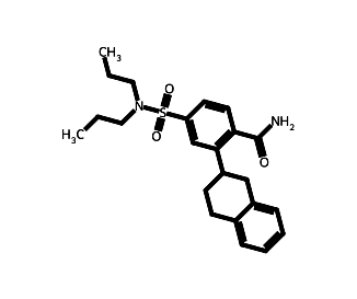 CCCN(CCC)S(=O)(=O)c1ccc(C(N)=O)c(C2CCc3ccccc3C2)c1